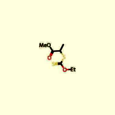 CCOC(=S)SC(C)C(=O)OC